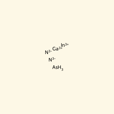 [AsH3].[Ga+3].[In+3].[N-3].[N-3]